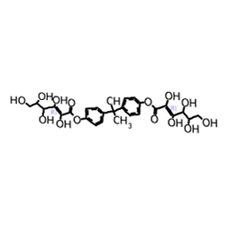 CC(C)(c1ccc(OC(=O)/C(O)=C(\O)C(O)C(O)CO)cc1)c1ccc(OC(=O)/C(O)=C(\O)C(O)C(O)CO)cc1